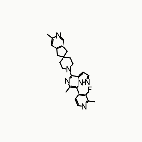 Cc1cc2c(cn1)CC1(CCN(c3nc(C)c(-c4ccnc(C)c4F)n4nccc34)CC1)C2